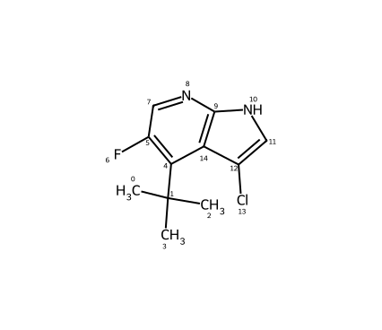 CC(C)(C)c1c(F)cnc2[nH]cc(Cl)c12